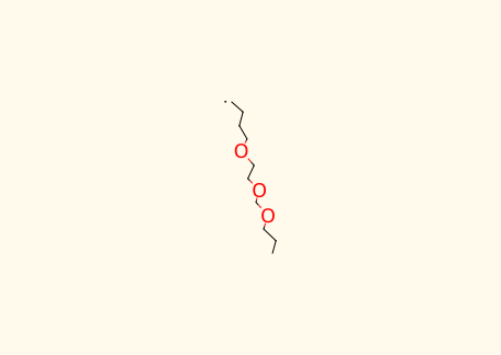 [CH2]CCCOCCOCOCCC